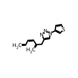 C=C/C=C\C(=C)Cc1cn(-c2ccsc2)nn1